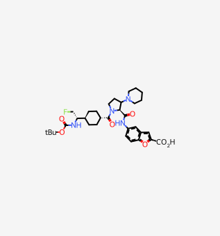 CC(C)(C)OC(=O)N[C@H](CF)[C@H]1CC[C@H](C(=O)N2CCC(N3CCCCC3)[C@H]2C(=O)Nc2ccc3oc(C(=O)O)cc3c2)CC1